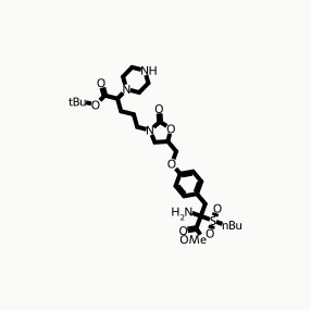 CCCCS(=O)(=O)C(N)(Cc1ccc(OCC2CN(CCCC(C(=O)OC(C)(C)C)N3CCNCC3)C(=O)O2)cc1)C(=O)OC